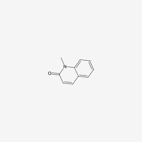 Cn1c(=O)ccc2cc[c]cc21